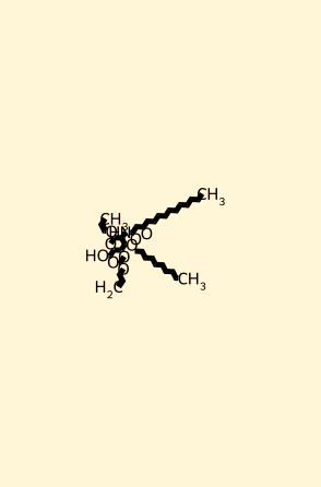 C=CCOC(=O)OC1C(CO)OC(O/C=C\C)C(NC(=O)CC(=O)CCCCCCCCCCC)C1OCCCCCCCCCC